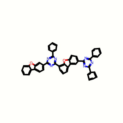 c1ccc(-c2nc(-c3ccccc3)nc(-c3ccc4oc5c(-c6nc(-c7ccccc7)nc(-c7ccc8c(c7)oc7ccccc78)n6)cccc5c4c3)n2)cc1